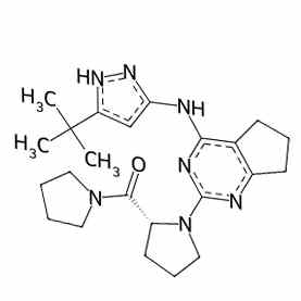 CC(C)(C)c1cc(Nc2nc(N3CCC[C@@H]3C(=O)N3CCCC3)nc3c2CCC3)n[nH]1